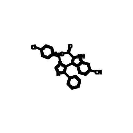 COC(=O)c1[nH]c2cc(C#N)ccc2c1-c1c(-c2ccccc2)ncn1Cc1ccc(Cl)cc1